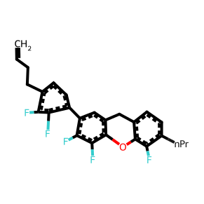 C=CCCc1ccc(-c2cc3c(c(F)c2F)Oc2c(ccc(CCC)c2F)C3)c(F)c1F